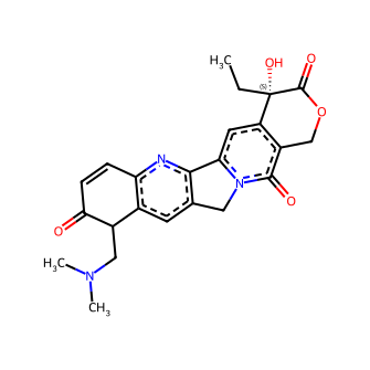 CC[C@@]1(O)C(=O)OCc2c1cc1n(c2=O)Cc2cc3c(nc2-1)C=CC(=O)C3CN(C)C